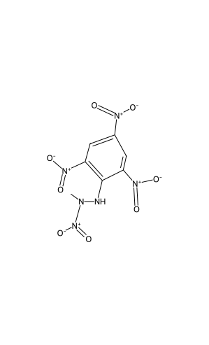 CN(Nc1c([N+](=O)[O-])cc([N+](=O)[O-])cc1[N+](=O)[O-])[N+](=O)[O-]